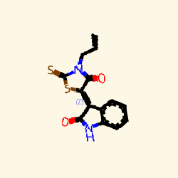 C=CCN1C(=O)/C(=C2/C(=O)Nc3ccccc32)SC1=S